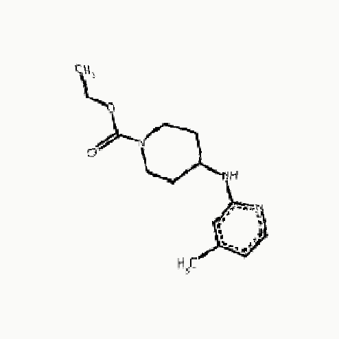 CCOC(=O)N1CCC(Nc2cc(C)ccn2)CC1